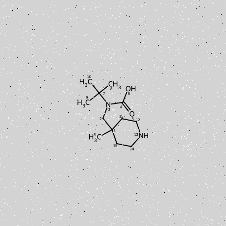 CC1(CN(C(=O)O)C(C)(C)C)CCNCC1